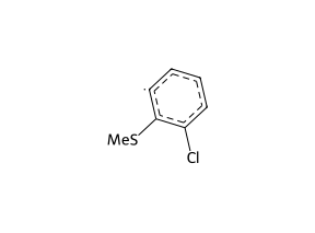 CSc1[c]cccc1Cl